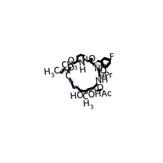 C/C=C(\C)[C@@H]1C/C=C/C=C/[C@H](O)[C@H](C)[C@@H](O)[C@@H](CCC(C)=O)C(=O)N[C@@H](C(C)C)C(=O)N[C@@H](Cc2cccc(F)c2)C(=O)N2CCCC(N2)C(=O)O1